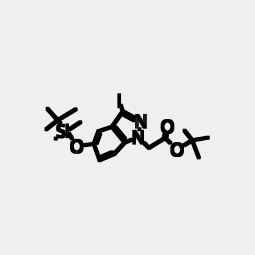 CC(C)(C)OC(=O)Cn1nc(I)c2cc(O[Si](C)(C)C(C)(C)C)ccc21